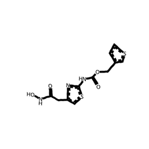 O=C(Cc1csc(NC(=O)OCc2ccsc2)n1)NO